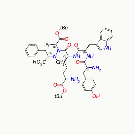 CC(C)[C@@H](C(=O)OC(C)(C)C)N(C(=O)[C@H](CCCC(N)C(=O)OC(C)(C)C)NC(=O)[C@@H](Cc1c[nH]c2ccccc12)NC(=O)[C@@H](N)Cc1ccc(O)cc1)N(C)[C@@H](Cc1ccccc1)C(=O)O